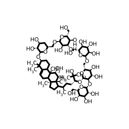 C[C@H](CC[C@@H](O[C@@H]1O[C@H](CO[C@H]2O[C@H](CO)[C@@H](O)[C@H](O)[C@H]2O)[C@@H](O)[C@H](O)[C@H]1O[C@@H]1O[C@H](CO)[C@@H](O)[C@H](O)[C@H]1O)C(C)(C)O)C1CC[C@@]2(C)C3CC=C4C(CC[C@H](O[C@@H]5O[C@H](CO[C@H]6O[C@H](CO)[C@@H](O)[C@H](O)[C@H]6O)C[C@H](O)[C@H]5O)C4(C)C)[C@]3(C)[C@H](O)C[C@]12C